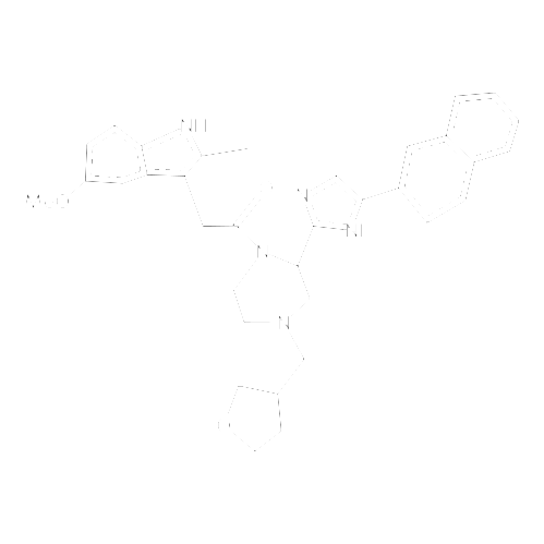 COc1ccc2[nH]c(C)c(CC(=O)N3CCN(CC4CCOC4)CC3c3ncc(-c4ccc5ccccc5c4)[nH]3)c2c1